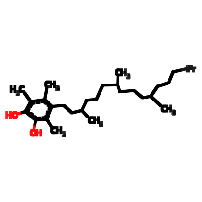 Cc1c(C)c(CCC(C)CCCC(C)CCCC(C)CCCC(C)C)c(C)c(O)c1O